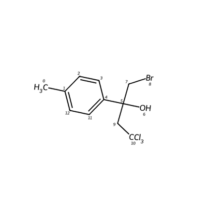 Cc1ccc(C(O)(CBr)CC(Cl)(Cl)Cl)cc1